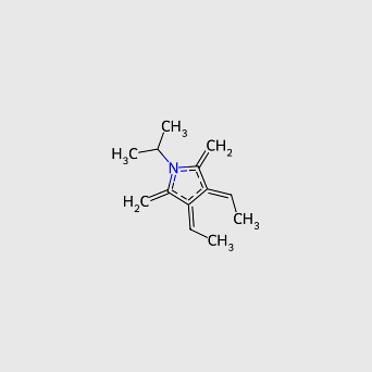 C=c1c(=C/C)/c(=C\C)c(=C)n1C(C)C